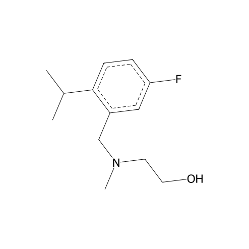 CC(C)c1ccc(F)cc1CN(C)CCO